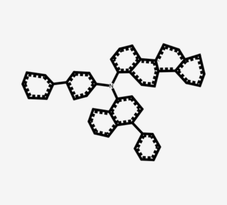 c1ccc(-c2ccc(N(c3ccc(-c4ccccc4)c4ccccc34)c3cccc4c3ccc3c5ccccc5ccc43)cc2)cc1